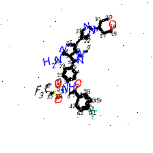 CC(Oc1cc(-c2nn(C)c3c(-c4cnn(C5CCOCC5)c4)cnc(N)c23)ccc1NS(=O)(=O)CC(F)(F)F)c1ccc(F)cc1